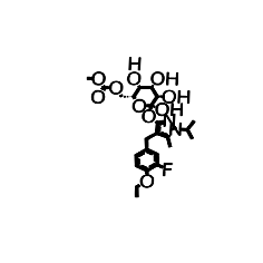 CCOc1ccc(Cc2c(O[C@]3(O)O[C@H](COC(=O)OC)[C@@H](O)[C@H](O)[C@H]3O)nn(C(C)C)c2C)cc1F